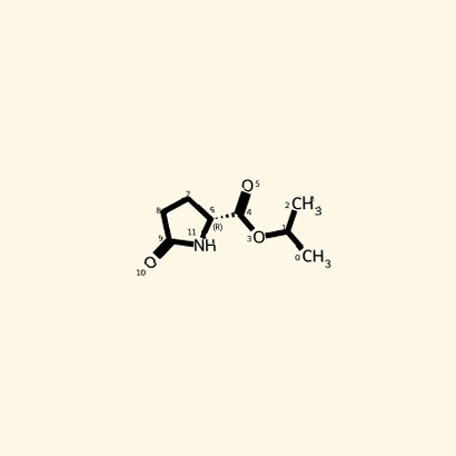 CC(C)OC(=O)[C@H]1CCC(=O)N1